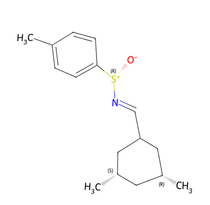 Cc1ccc([S@+]([O-])N=CC2C[C@@H](C)C[C@@H](C)C2)cc1